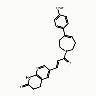 COc1ccc(C2=CCCN(C(=O)/C=C/c3cnc4c(c3)CCC(=O)N4)CC2)cc1